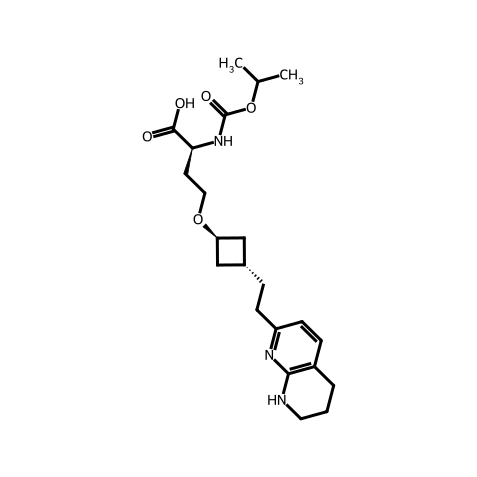 CC(C)OC(=O)N[C@@H](CCO[C@H]1C[C@H](CCc2ccc3c(n2)NCCC3)C1)C(=O)O